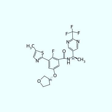 Cc1cnc(-c2cc(O[C@@H]3CCOC3)cc(C(=O)N[C@H](C)c3cnc(C(F)(F)F)nc3)c2F)s1